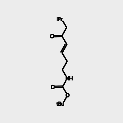 CC(C)CC(=O)/C=C/CCNC(=O)OC(C)(C)C